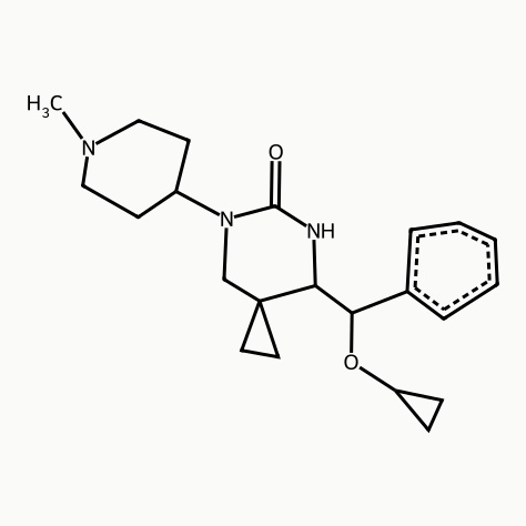 CN1CCC(N2CC3(CC3)C(C(OC3CC3)c3ccccc3)NC2=O)CC1